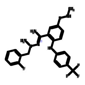 CNSc1ccc(Nc2ccc(C(F)(F)F)cc2)c(/C(N)=N/N(N)Cc2ccccc2F)c1